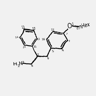 CCCCCCOc1ccc(CC(CN)c2ccccc2)cc1